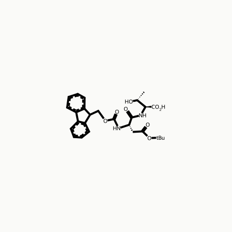 C[C@@H](O)[C@H](NC(=O)[C@H](CC(=O)OC(C)(C)C)NC(=O)OCC1c2ccccc2-c2ccccc21)C(=O)O